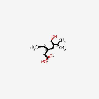 CCC(CC(=O)O)CC(CO)C(C)C